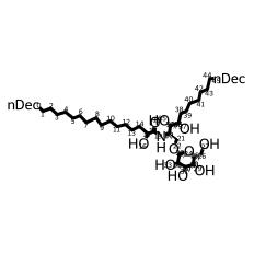 CCCCCCCCCCCCCCCCCCCCCCCCC(O)C(=O)N[C@H](CO[C@H]1O[C@H](CO)[C@@H](O)[C@H](O)[C@H]1O)[C@H](O)[C@H](O)CCCCCCCCCCCCCCCCC